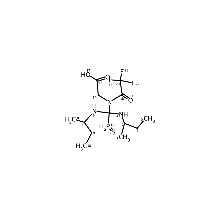 CCC(C)NC(NC(C)CC)([PH2]=S)N(CC(=O)O)C(=O)C(F)(F)F